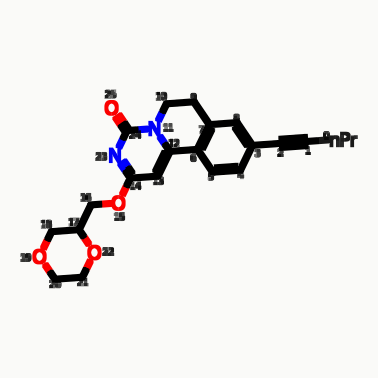 CCCC#Cc1ccc2c(c1)CCn1c-2cc(OCC2COCCO2)nc1=O